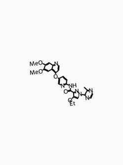 CCOc1cn(-c2nccnc2C)nc1C(=O)Nc1ccc(Oc2ccnc3cc(OC)c(OC)cc23)cn1